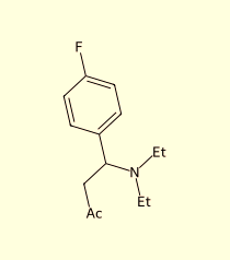 CCN(CC)C(CC(C)=O)c1ccc(F)cc1